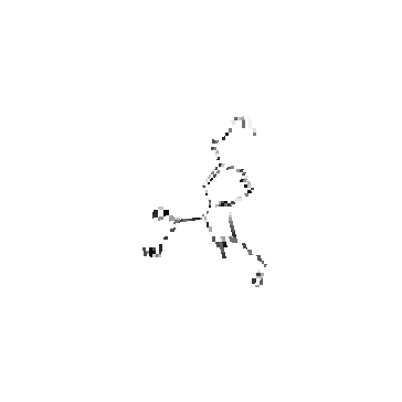 COc1ccc2c(C=O)nn(C(=O)O)c2c1